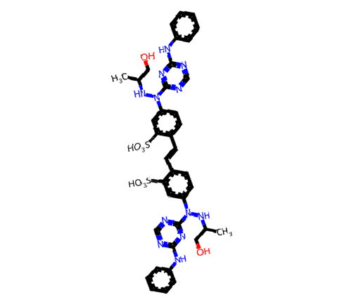 CC(CO)NN(c1ccc(C=Cc2ccc(N(NC(C)CO)c3ncnc(Nc4ccccc4)n3)cc2S(=O)(=O)O)c(S(=O)(=O)O)c1)c1ncnc(Nc2ccccc2)n1